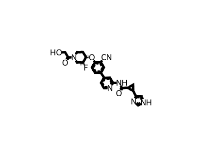 N#Cc1cc(-c2ccnc(NC(=O)C3CC3c3c[nH]cn3)c2)ccc1O[C@H]1CCN(C(=O)CO)C[C@H]1F